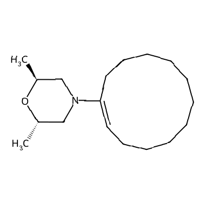 C[C@H]1CN(C2=CCCCCCCCCCC2)C[C@H](C)O1